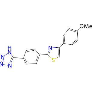 COc1ccc(-c2csc(-c3ccc(-c4nnn[nH]4)cc3)n2)cc1